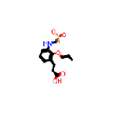 CCCOc1c(CCC(=O)O)cccc1NC[SH](=O)=O